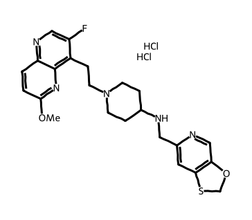 COc1ccc2ncc(F)c(CCN3CCC(NCc4cc5c(cn4)OCS5)CC3)c2n1.Cl.Cl